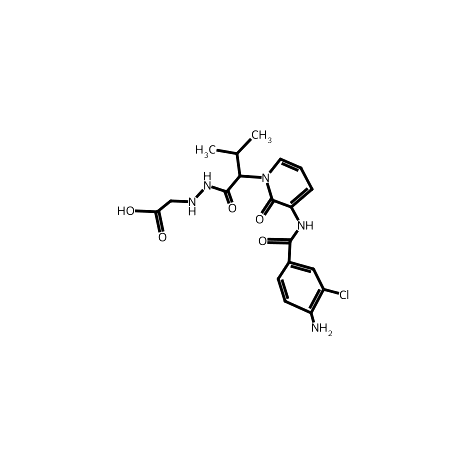 CC(C)C(C(=O)NNCC(=O)O)n1cccc(NC(=O)c2ccc(N)c(Cl)c2)c1=O